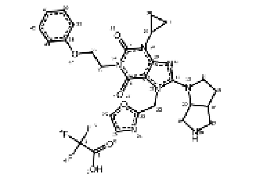 O=C(O)C(F)(F)F.O=c1c2c(nc(N3CCC4CNCC43)n2Cc2ncco2)n(C2CC2)c(=O)n1CCOc1ccccc1